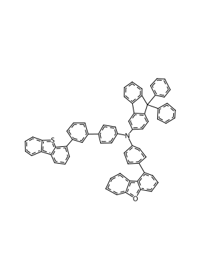 c1ccc(C2(c3ccccc3)c3ccccc3-c3cc(N(c4ccc(-c5cccc(-c6cccc7c6sc6ccccc67)c5)cc4)c4ccc(-c5cccc6oc7ccccc7c56)cc4)ccc32)cc1